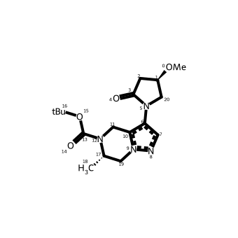 CO[C@@H]1CC(=O)N(c2cnn3c2CN(C(=O)OC(C)(C)C)[C@@H](C)C3)C1